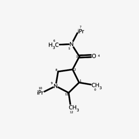 CC1C(C(=O)N(C)C(C)C)CN(C(C)C)C1C